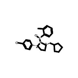 Cc1ccccc1[S+]([O-])N1[C@H](CC2CCCC2)CC[C@@H]1c1ccc(Cl)cc1